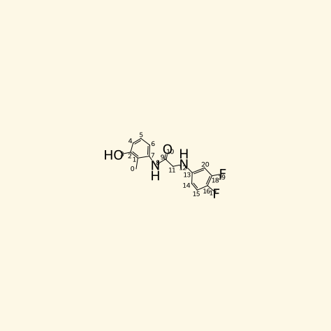 Cc1c(O)cccc1NC(=O)CNc1ccc(F)c(F)c1